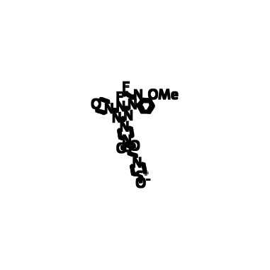 COc1cccc2c1nc(C(F)F)n2-c1nc(N2CCOCC2)nc(N2CCN(S(=O)(=O)CCN3CC[S+]([O-])CC3)CC2)n1